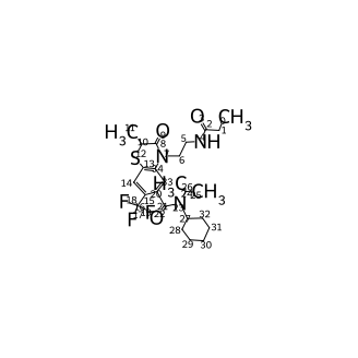 CCC(=O)NCCN1C(=O)C(C)Sc2cc(C(F)(F)F)c(C(=O)N(C(C)C)C3CCCCC3)cc21